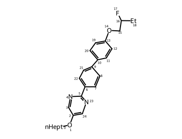 CCCCCCCOc1cnc(-c2ccc(-c3ccc(OCC(F)CC)cc3)cc2)nc1